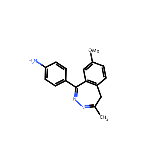 COc1ccc2c(c1)C(c1ccc(N)cc1)=NN=C(C)C2